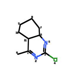 CC1=NC(Cl)=NC2CCCCC12